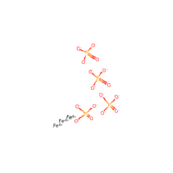 O=P([O-])([O-])[O-].O=P([O-])([O-])[O-].O=P([O-])([O-])[O-].O=P([O-])([O-])[O-].[Fe+4].[Fe+4].[Fe+4]